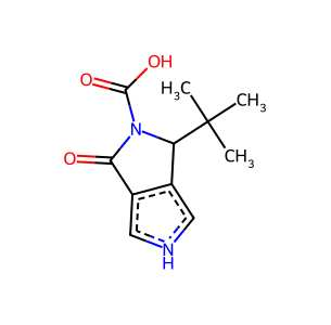 CC(C)(C)C1c2c[nH]cc2C(=O)N1C(=O)O